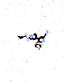 CN1CC[C@@H](Oc2cnc(C#N)cc2-c2ccn3nc(NC(=O)C4CC4)cc3c2)C(F)(F)C1